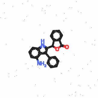 Nc1cccc2[nH]c(C3OC(=O)c4ccccc43)c(-c3ccccc3)c12